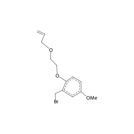 C=CCOCCOc1ccc(OC)cc1CBr